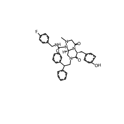 CN1CC(=O)N2[C@@H](Cc3ccc(O)cc3)C(=O)N(CC(c3ccccc3)c3ccccc3)C[C@@H]2N1C(=O)NCc1ccc(F)cc1